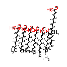 CCCCCCCCCC(=O)O.CCCCCCCCCC(=O)O.CCCCCCCCCC(=O)O.CCCCCCCCCC(=O)O.CCCCCCCCCC(=O)O.CCCCCCCCCC(=O)O.CCCCCCCCCC(=O)O.CCCCCCCCCCCCCCCC(=O)O